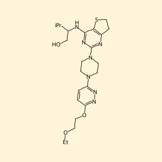 CCOCCOc1ccc(N2CCN(c3nc4c(c(NC(CO)C(C)C)n3)SCC4)CC2)nn1